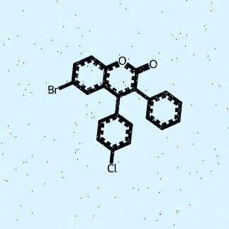 O=c1oc2ccc(Br)cc2c(-c2ccc(Cl)cc2)c1-c1ccccc1